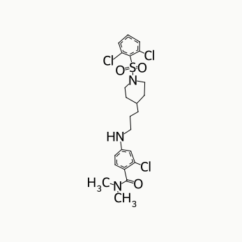 CN(C)C(=O)c1ccc(NCCCC2CCN(S(=O)(=O)c3c(Cl)cccc3Cl)CC2)cc1Cl